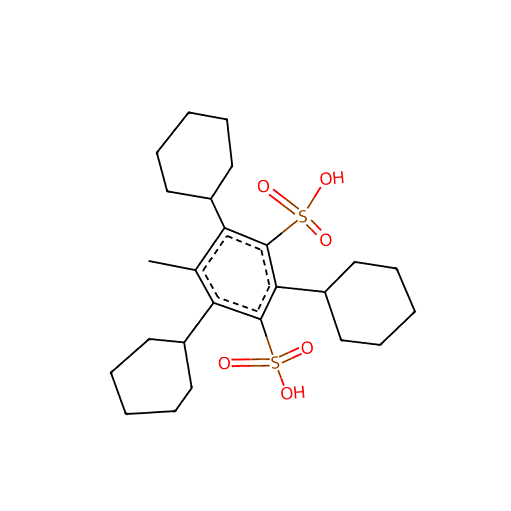 Cc1c(C2CCCCC2)c(S(=O)(=O)O)c(C2CCCCC2)c(S(=O)(=O)O)c1C1CCCCC1